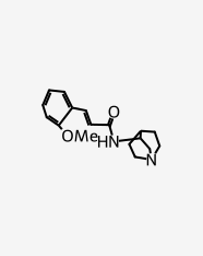 COc1ccccc1C=CC(=O)NC1CN2CCC1CC2